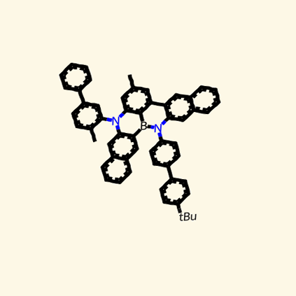 Cc1cc2c3c(c1)N(c1cc(-c4ccccc4)ccc1C)c1cc4ccccc4cc1B3N(c1ccc(-c3ccc(C(C)(C)C)cc3)cc1)c1cc3ccccc3cc1-2